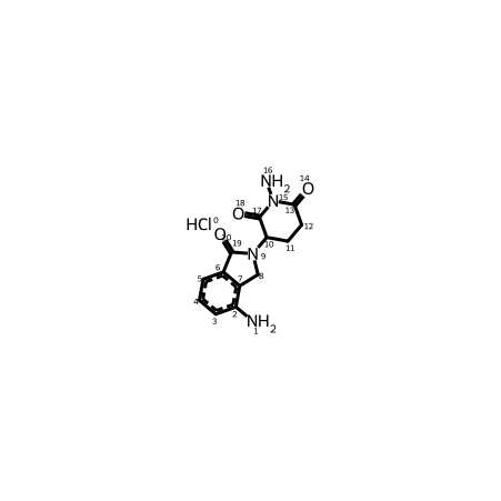 Cl.Nc1cccc2c1CN(C1CCC(=O)N(N)C1=O)C2=O